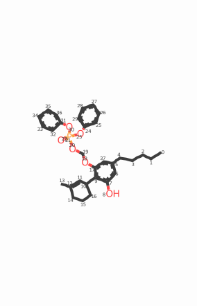 CCCCCc1cc(O)c(C2C=C(C)CCC2)c(OCOP(=O)(Oc2ccccc2)Oc2ccccc2)c1